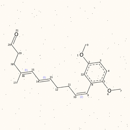 COc1ccc(OC)c(/C=C\CC/C=C/C=C(\C)CCC=O)c1